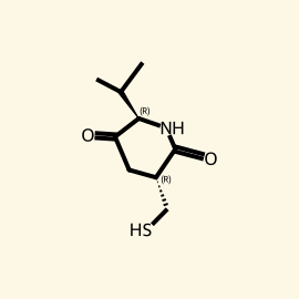 CC(C)[C@H]1NC(=O)[C@H](CS)CC1=O